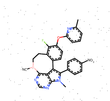 Cc1cccc(Oc2ccc3c(c2F)CCB(C#N)c2ncnc4c2c-3c(-c2ccc([N+](=O)[O-])cc2)n4C)n1